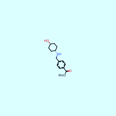 COC(=O)c1ccc(CN[C@H]2CC[C@H](O)CC2)cc1